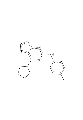 Fc1ccc(Nc2nc(N3CCCC3)c3nc[nH]c3n2)cc1